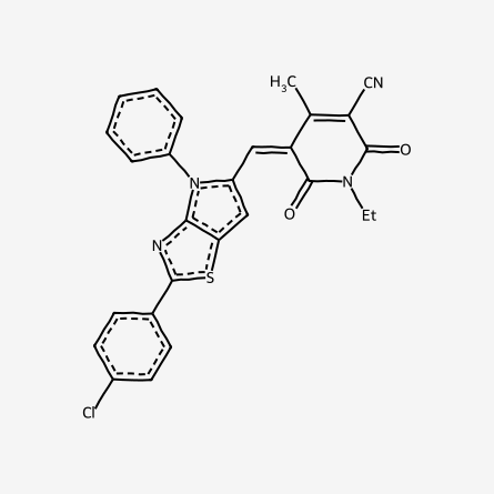 CCN1C(=O)C(C#N)=C(C)/C(=C/c2cc3sc(-c4ccc(Cl)cc4)nc3n2-c2ccccc2)C1=O